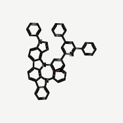 c1ccc(-c2cc(-c3ccccc3)nc(-c3cccc(-n4c5c(ccc6c5ccn6-c5ccccc5)c5ccc6c7ccccc7n(-c7ccccc7)c6c54)c3)c2)cc1